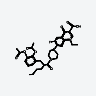 CCCCC(Cc1cccc(OC(C)=O)c1OC(C)=O)C(=O)N1CCN(c2cc3c(cc2F)c(=O)c(C(=O)O)cn3CC)CC1